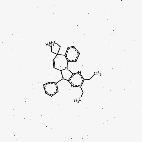 CCc1nc2c(nc1CC)N1c3ccccc3C(CC)(CC)C=CC1N2c1ccccc1